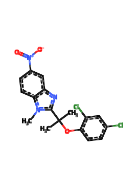 Cn1c(C(C)(C)Oc2ccc(Cl)cc2Cl)nc2cc([N+](=O)[O-])ccc21